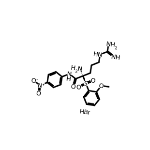 Br.COc1ccccc1S(=O)(=O)[C@](N)(CCCNC(=N)N)C(=O)Nc1ccc([N+](=O)[O-])cc1